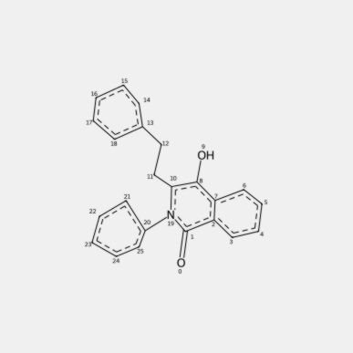 O=c1c2ccccc2c(O)c(CCc2ccccc2)n1-c1ccccc1